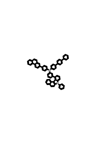 c1ccc(-c2ccc(-c3ccc(N(c4ccc(-c5ccc6c(ccc7ccccc76)c5)cc4)c4cccc(-c5cccc6c5c5c7ccccc7ccc5n6-c5ccccc5)c4)cc3)cc2)cc1